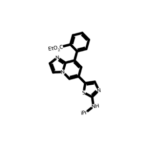 CCOC(=O)c1ccccc1-c1cc(-c2cnc(NC(C)C)s2)cn2ccnc12